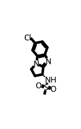 CS(=O)(=O)N[C@@H]1CCn2c1nc1ccc(Cl)cc12